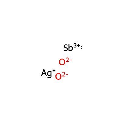 [Ag+].[O-2].[O-2].[Sb+3]